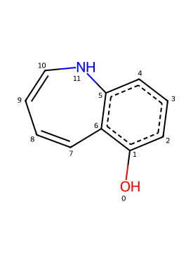 Oc1cccc2c1C=CC=CN2